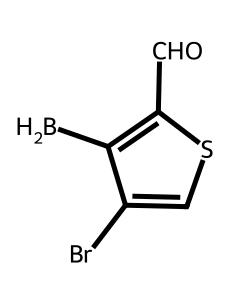 Bc1c(Br)csc1C=O